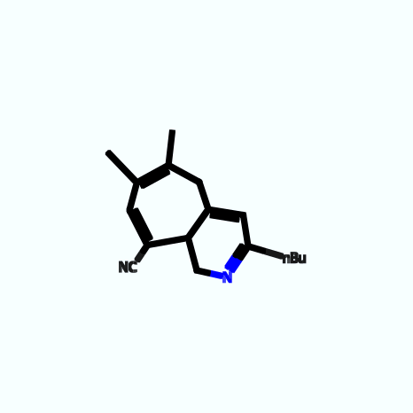 CCCCC1=NCC2C(C#N)=CC(C)=C(C)CC2=C1